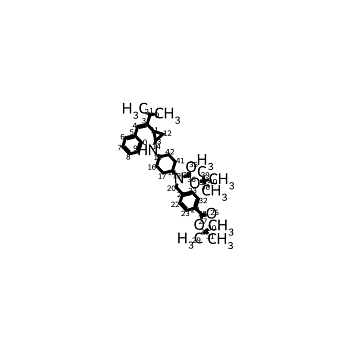 CC(C)C(=Cc1ccccc1)C1CC1NC1CCC(N(Cc2ccc(C(=O)OC(C)(C)C)cc2)C(=O)OC(C)(C)C)CC1